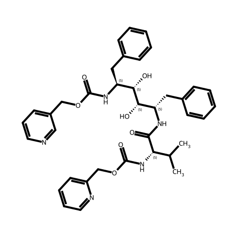 CC(C)[C@H](NC(=O)OCc1ccccn1)C(=O)N[C@@H](Cc1ccccc1)[C@H](O)[C@@H](O)[C@H](Cc1ccccc1)NC(=O)OCc1cccnc1